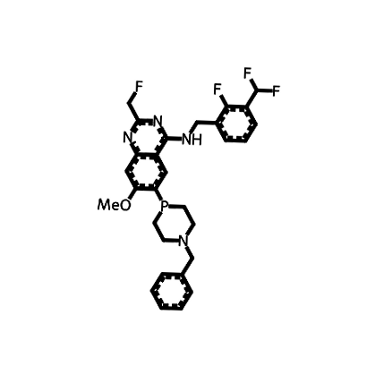 COc1cc2nc(CF)nc(NCc3cccc(C(F)F)c3F)c2cc1P1CCN(Cc2ccccc2)CC1